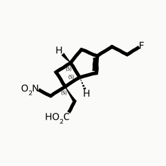 O=C(O)C[C@@]1(C[N+](=O)[O-])C[C@@H]2CC(CCF)=C[C@H]21